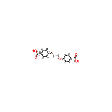 O=C(O)c1ccc(OCCSc2ccc(C(=O)O)cc2)cc1